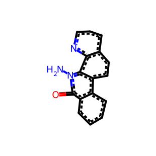 Nn1c(=O)c2ccccc2c2ccc3cccnc3c21